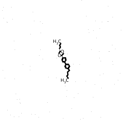 CCCCCCc1ccc(-c2ccc([C@@H]3CO[C@@H](CCCCC)CO3)cc2)cc1